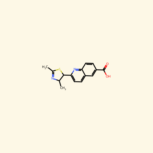 CC1=NC(C)C(c2ccc3cc(C(=O)O)ccc3n2)S1